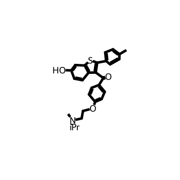 Cc1ccc(-c2sc3cc(O)ccc3c2C(=O)c2ccc(OCCN(C)C(C)C)cc2)cc1